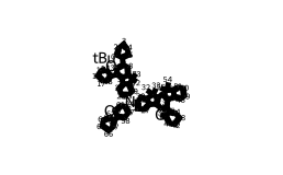 CC(C)(C)c1ccccc1-c1cc2c(c3c1oc1ccccc13)-c1ccc(N(c3ccc4c(c3)C(C)(C)c3c5c(c6c(oc7ccccc76)c3-4)-c3ccccc3C5(C)C)c3ccc4c(c3)oc3ccccc34)cc1C2(C)C